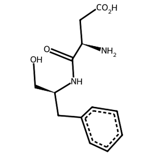 N[C@H](CC(=O)O)C(=O)N[C@H](CO)Cc1ccccc1